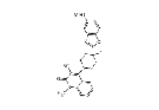 COc1ccc2oc(C3(F)CCN(c4c(C#N)c(=O)n(C)c5ccccc45)CC3)nc2c1